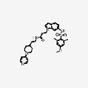 COc1cc(C)c(S(=O)(=O)Nc2ccc3ccn(CCC(=O)NCCC4CCN(c5ccncc5)CC4)c3c2)c(C)c1